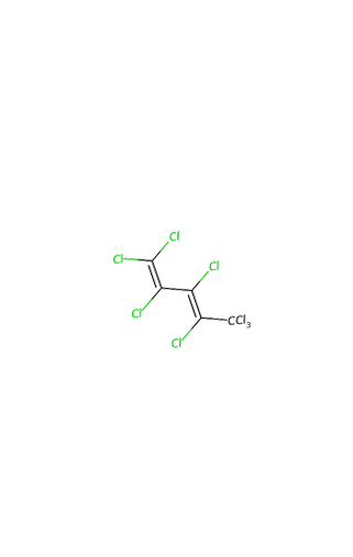 ClC(Cl)=C(Cl)C(Cl)=C(Cl)C(Cl)(Cl)Cl